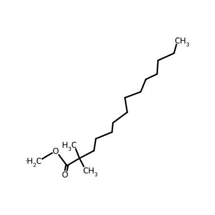 [CH2]OC(=O)C(C)(C)CCCCCCCCCCCC